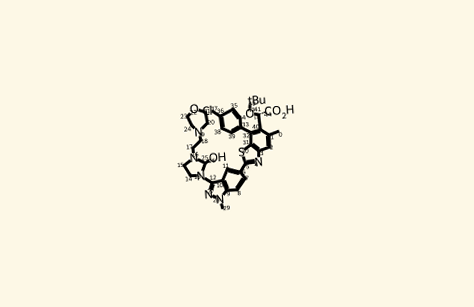 Cc1cc2nc(-c3ccc4c(c3)c(N3CCN(CCN5CCOCC5)C3O)nn4C)sc2c(-c2ccc(Cl)cc2)c1[C@H](OC(C)(C)C)C(=O)O